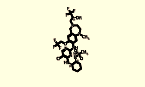 CN1CCN(C[C@@H](O)C(F)(F)F)Cc2cc(OCC(F)(F)F)c(Nc3ncc(Cl)c(N[C@@H]4CCCC[C@H]4NS(C)(=O)=O)n3)cc21